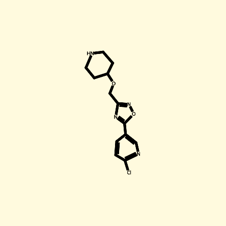 Clc1ccc(-c2nc(COC3CCNCC3)no2)cn1